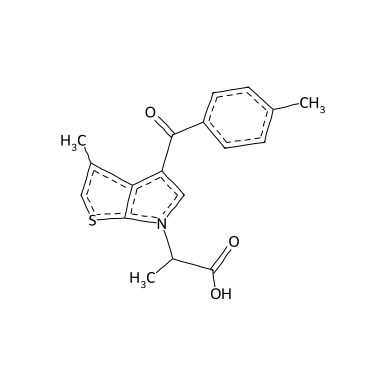 Cc1ccc(C(=O)c2cn(C(C)C(=O)O)c3scc(C)c23)cc1